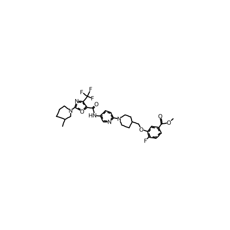 COC(=O)c1ccc(F)c(OCC2CCN(c3ccc(NC(=O)c4oc(N5CCCC(C)C5)nc4C(F)(F)F)cn3)CC2)c1